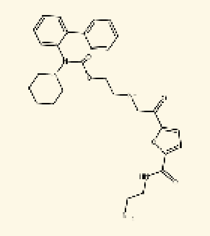 NCCNC(=O)c1ccc(C(=O)CNCCOC(=O)N(c2ccccc2-c2ccccc2)N2CC[CH]CC2)o1